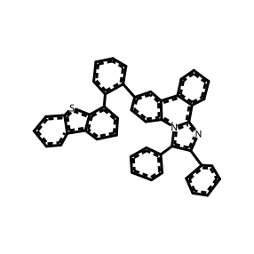 c1ccc(-c2nc3c4ccccc4c4cc(-c5ccccc5-c5cccc6c5sc5ccccc56)ccc4n3c2-c2ccccc2)cc1